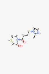 Cc1n[c]cn1CCCC(=O)N1CCSCC1O